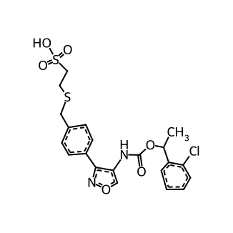 CC(OC(=O)Nc1conc1-c1ccc(CSCCS(=O)(=O)O)cc1)c1ccccc1Cl